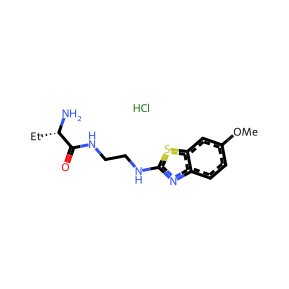 CC[C@H](N)C(=O)NCCNc1nc2ccc(OC)cc2s1.Cl